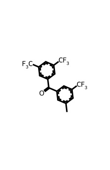 Cc1cc(C(=O)c2cc(C(F)(F)F)cc(C(F)(F)F)c2)cc(C(F)(F)F)c1